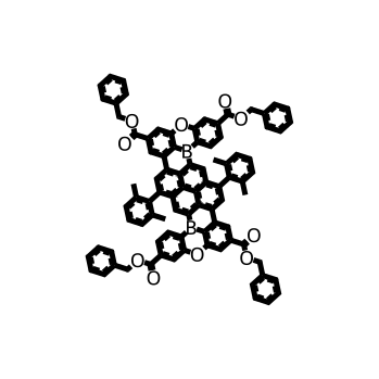 Cc1cccc(C)c1-c1cc2c3c(cc4c(-c5c(C)cccc5C)cc5c6c(cc1c3c46)B1c3ccc(C(=O)OCc4ccccc4)cc3Oc3cc(C(=O)OCc4ccccc4)cc-5c31)B1c3ccc(C(=O)OCc4ccccc4)cc3Oc3cc(C(=O)OCc4ccccc4)cc-2c31